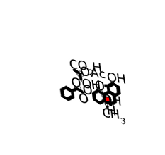 CC(=O)O[C@@H](CC(=O)O)C(O)O[C@H](C(=O)OC1=CC[C@@]2(O)[C@H]3Cc4ccc(O)c5c4[C@@]2(CCN3C)[C@H]1O5)c1ccccc1